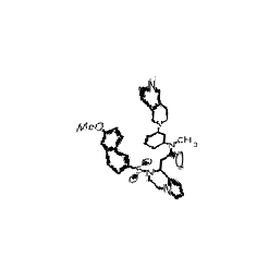 COc1ccc2cc(S(=O)(=O)N3CCn4cccc4C3CC(=O)N(C)[C@H]3CCC[C@@H](N4CCc5cnccc5C4)C3)ccc2c1